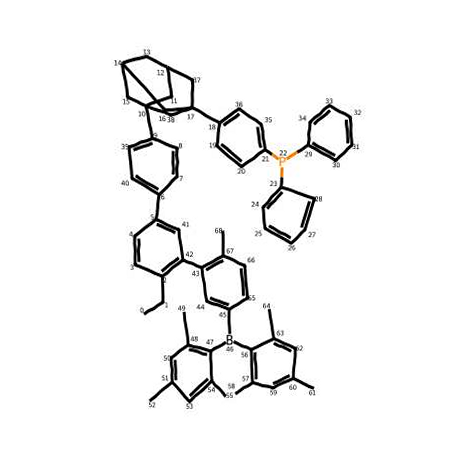 CCc1ccc(-c2ccc(C34CC5CC(C3)CC(c3ccc(P(c6ccccc6)c6ccccc6)cc3)(C5)C4)cc2)cc1-c1cc(B(c2c(C)cc(C)cc2C)c2c(C)cc(C)cc2C)ccc1C